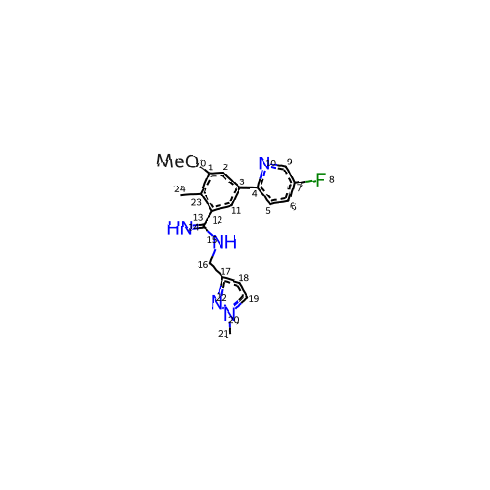 COc1cc(-c2ccc(F)cn2)cc(C(=N)NCc2ccn(C)n2)c1C